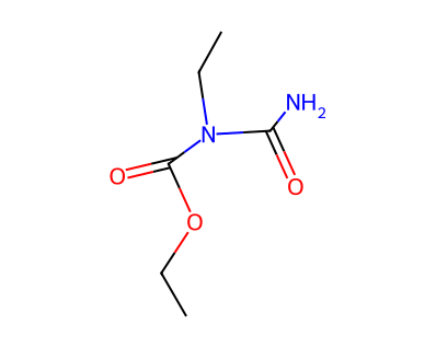 CCOC(=O)N(CC)C(N)=O